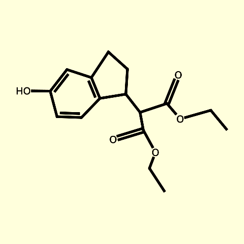 CCOC(=O)C(C(=O)OCC)C1CCc2cc(O)ccc21